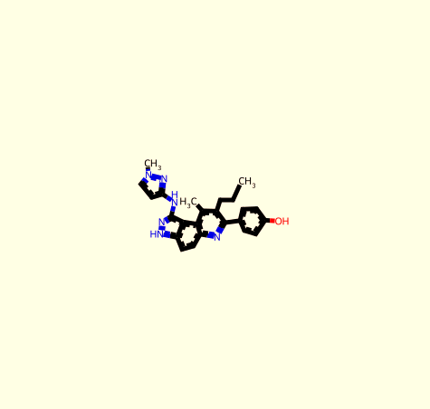 CCCc1c(-c2ccc(O)cc2)nc2ccc3[nH]nc(Nc4ccn(C)n4)c3c2c1C